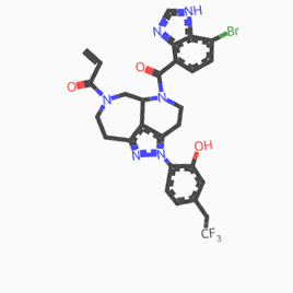 C=CC(=O)N1CCc2nn(-c3ccc(CC(F)(F)F)cc3O)c3c2C(C1)N(C(=O)c1ccc(Br)c2[nH]cnc12)CC3